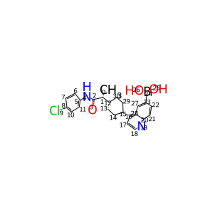 C[C@@H](C(=O)Nc1ccc(Cl)cc1)[C@H]1CC[C@@H](c2ccnc3ccc(B(O)O)cc32)CC1